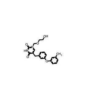 Cc1cccc(Oc2cccc(Cc3cn(COCCO)c(=O)[nH]c3=O)c2)c1